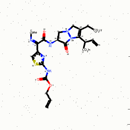 C=CCOC(=O)Nc1nc(/C(=N/OC)C(=O)N[C@H]2CN3CC(CC(=O)O)=C(C(C=C)C(=O)O)N3C2=O)cs1